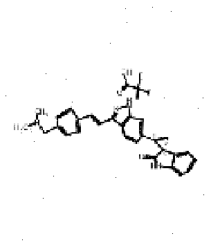 CN(C)Cc1ccc(C=Cc2n[nH]c3cc([C@H]4C[C@]45C(=O)Nc4ccccc45)ccc23)cc1.O=C(O)C(F)(F)F